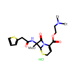 CCN(CC)CCOC(=O)C1=CCSC2N1C(=O)C2(NC(=O)Cc1cccs1)OC.Cl